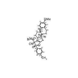 [C-]#[N+]C(CBr)(C1=CC[C@H]2[C@@H]3CCc4cc(OC)ccc4[C@H]3CC[C@]12C)S(=O)(=O)c1ccc(C)cc1